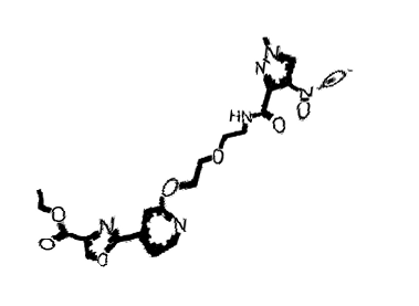 CCOC(=O)c1coc(-c2ccnc(OCCOCCNC(=O)c3nn(C)cc3[N+](=O)[O-])c2)n1